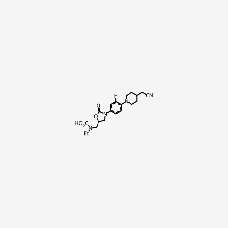 CCN(CC1CN(c2ccc(N3CCC(CC#N)CC3)c(F)c2)C(=O)O1)C(=O)O